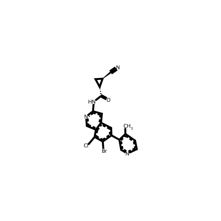 Cc1ccncc1-c1cc2cc(NC(=O)[C@@H]3C[C@H]3C#N)ncc2c(Cl)c1Br